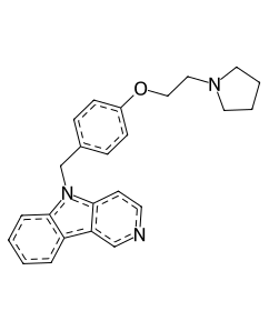 c1ccc2c(c1)c1cnccc1n2Cc1ccc(OCCN2CCCC2)cc1